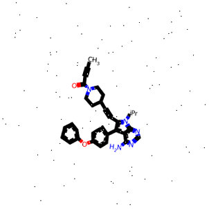 CC#CC(=O)N1CCC(C#Cc2c(-c3ccc(Oc4ccccc4)cc3)c3c(N)ncnc3n2C(C)C)CC1